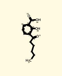 CCCCCC(=O)c1cccc(C(=O)O)c1O